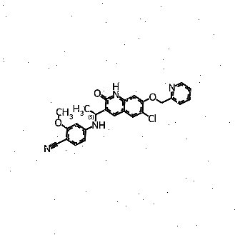 COc1cc(N[C@@H](C)c2cc3cc(Cl)c(OCc4ccccn4)cc3[nH]c2=O)ccc1C#N